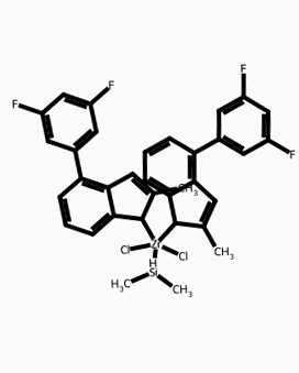 CC1=Cc2c(-c3cc(F)cc(F)c3)cccc2[CH]1[Zr]([Cl])([Cl])([CH]1C(C)=Cc2c(-c3cc(F)cc(F)c3)cccc21)[SiH](C)C